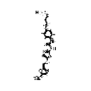 CC(C)(C)c1cnc(CSc2cnc(NC(=O)Nc3ccc(OCCCC(=O)O)cc3)s2)o1